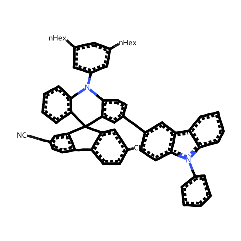 CCCCCCc1cc(CCCCCC)cc(N2c3ccccc3C3(c4cc(C#N)ccc4-c4ccc(C#N)cc43)c3cc(-c4ccc5c(c4)c4ccccc4n5-c4ccccc4)ccc32)c1